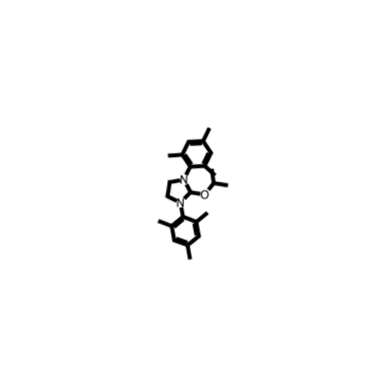 Cc1cc(C)c(N2CCN(c3c(C)cc(C)cc3C)C2OC(C)C)c(C)c1